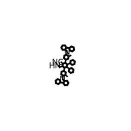 Cc1cc(-c2c(C#N)c(C=N)c(-c3ccc(-n4c5ccccc5c5ccccc54)c(C)c3)c(-c3ccccc3)c2-c2ccccc2)ccc1-n1c2ccccc2c2ccccc21